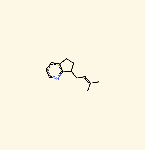 CC(C)=CCC1CCc2cccnc21